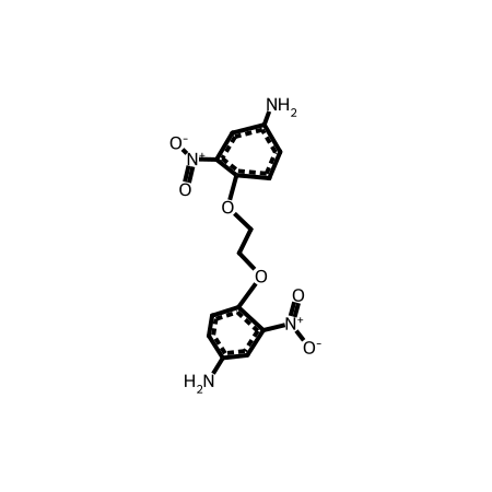 Nc1ccc(OCCOc2ccc(N)cc2[N+](=O)[O-])c([N+](=O)[O-])c1